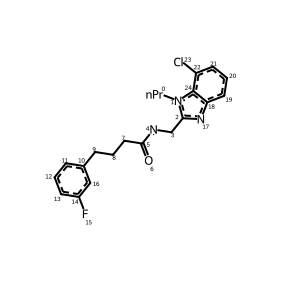 CCCn1c(C[N]C(=O)CCCc2cccc(F)c2)nc2cccc(Cl)c21